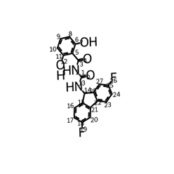 O=C(NC(=O)c1c(O)cccc1O)NC1c2ccc(F)cc2-c2ccc(F)cc21